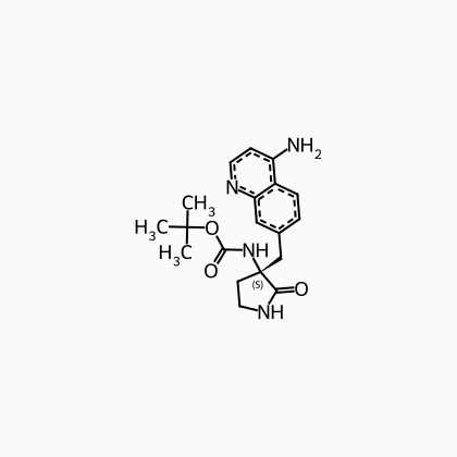 CC(C)(C)OC(=O)N[C@@]1(Cc2ccc3c(N)ccnc3c2)CCNC1=O